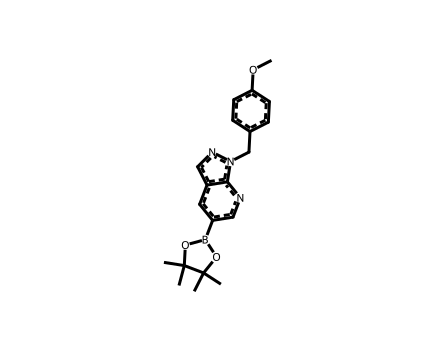 COc1ccc(Cn2ncc3cc(B4OC(C)(C)C(C)(C)O4)cnc32)cc1